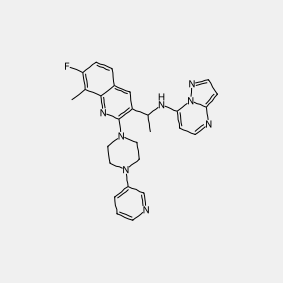 Cc1c(F)ccc2cc(C(C)Nc3ccnc4ccnn34)c(N3CCN(c4cccnc4)CC3)nc12